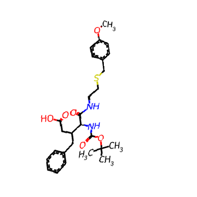 COc1ccc(CSCCNC(=O)[C@@H](NC(=O)OC(C)(C)C)C(CC(=O)O)Cc2ccccc2)cc1